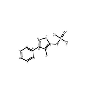 Cc1c([N-]P(=O)(Cl)Cl)on[n+]1-c1ccccc1